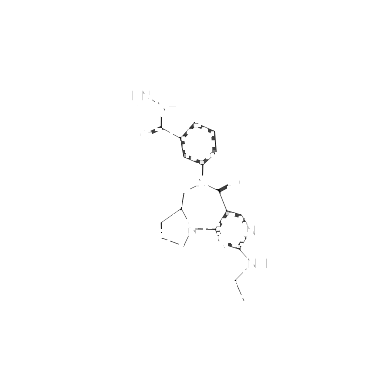 CCNc1ncc2c(n1)N1CCCC1CN(c1cccc(C(=O)NN)c1)C2=O